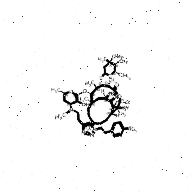 C=C1CC[C@@H]2[C@@H](C)/C(=N/O)[C@H](C)C[C@@](C)(CC1)[C@H](O[C@@H]1O[C@H](C)C[C@H](N(C)CCc3cn(CCc4ccc([N+](=O)[O-])cc4)nn3)C1O)[C@@H](C)[C@H](OC1C[C@@](C)(OC)[C@@H](O)[C@H](C)O1)[C@@H](C)C(=O)O[C@H](CC)[C@@]2(C)O